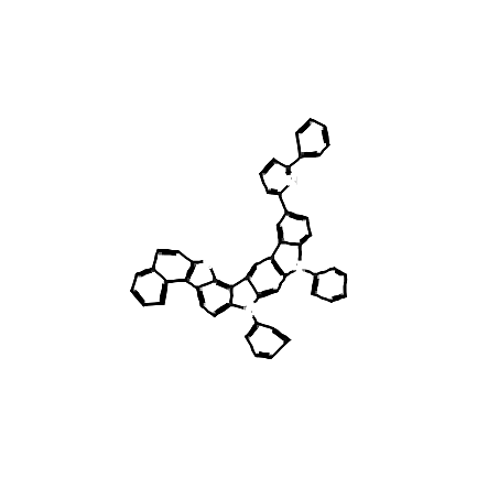 c1ccc(-c2cccc(-c3ccc4c(c3)c3cc5c6c7sc8ccc9ccccc9c8c7ccc6n(-c6ccccc6)c5cc3n4-c3ccccc3)n2)cc1